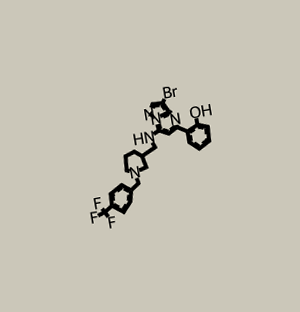 Oc1ccccc1-c1cc(NCC2CCCN(Cc3ccc(C(F)(F)F)cc3)C2)n2ncc(Br)c2n1